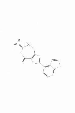 CC1(C)Cc2nc(-c3ccnc4[nH]ccc34)sc2C(=O)NC1=S(=O)=O